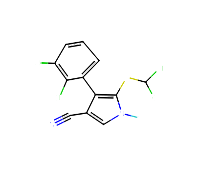 N#Cc1cn(F)c(SC(Cl)Cl)c1-c1cccc(Cl)c1Cl